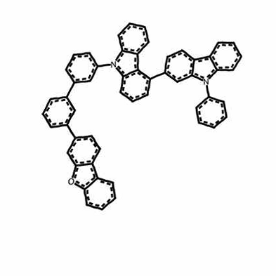 c1ccc(-n2c3ccccc3c3ccc(-c4cccc5c4c4ccccc4n5-c4cccc(-c5cccc(-c6ccc7c(c6)oc6ccccc67)c5)c4)cc32)cc1